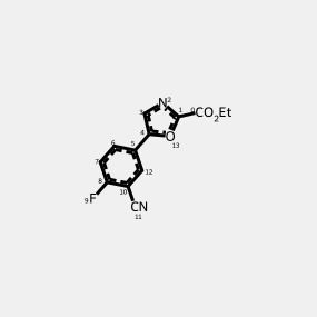 CCOC(=O)c1ncc(-c2ccc(F)c(C#N)c2)o1